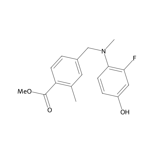 COC(=O)c1ccc(CN(C)c2ccc(O)cc2F)cc1C